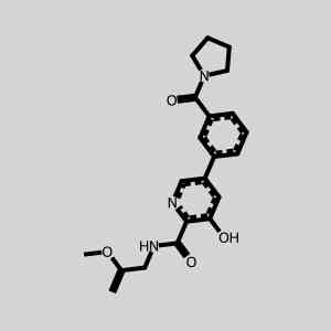 C=C(CNC(=O)c1ncc(-c2cccc(C(=O)N3CCCC3)c2)cc1O)OC